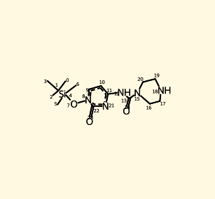 CC(C)(C)[Si](C)(C)On1ccc(NC(=O)N2CCNCC2)nc1=O